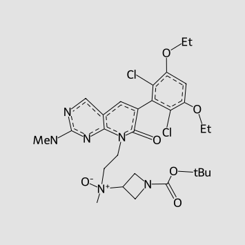 CCOc1cc(OCC)c(Cl)c(-c2cc3cnc(NC)nc3n(CC[N+](C)([O-])C3CN(C(=O)OC(C)(C)C)C3)c2=O)c1Cl